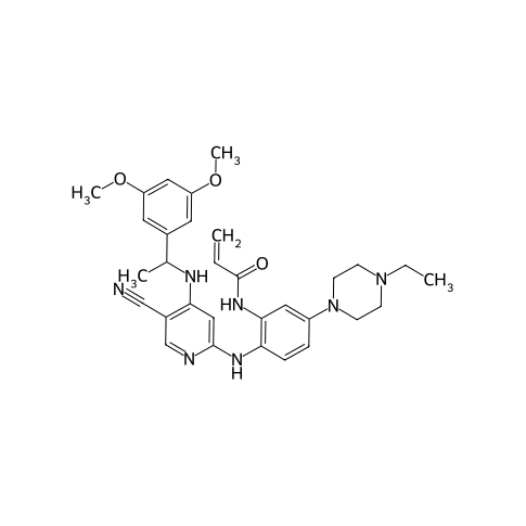 C=CC(=O)Nc1cc(N2CCN(CC)CC2)ccc1Nc1cc(NC(C)c2cc(OC)cc(OC)c2)c(C#N)cn1